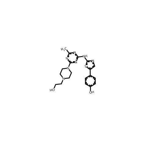 Cc1nc(Nc2ncc(-c3ccc(O)cc3)s2)nc(N2CCN(CCO)CC2)n1